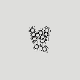 c1ccc(N(c2ccccc2)c2cc(N(c3ccccc3)c3ccccc3-c3cccc4ccccc34)c3c(c2)oc2cc4ccccc4cc23)cc1